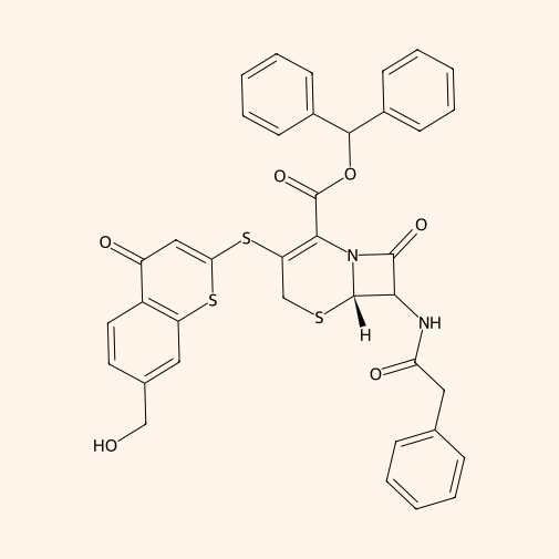 O=C(Cc1ccccc1)NC1C(=O)N2C(C(=O)OC(c3ccccc3)c3ccccc3)=C(Sc3cc(=O)c4ccc(CO)cc4s3)CS[C@@H]12